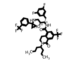 CCCC(CCC)N1CCc2c(C(=O)N[C@@H](Cc3cc(F)cc(F)c3)[C@@H](O)CNC3(c4cccc(C(F)(F)F)c4)CC3)cc(C(F)(F)F)cc2C1=O